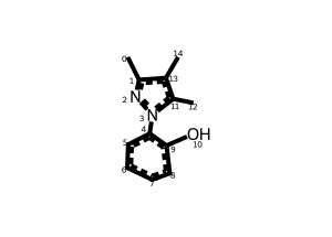 Cc1nn(-c2cc[c]cc2O)c(C)c1C